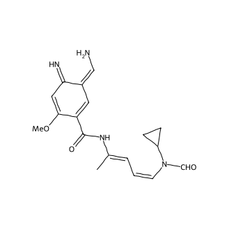 COC1=CC(=N)/C(=C\N)C=C1C(=O)N/C(C)=C/C=C\N(C=O)C1CC1